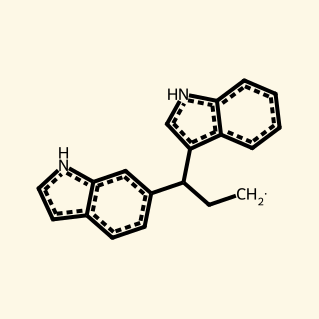 [CH2]CC(c1ccc2cc[nH]c2c1)c1c[nH]c2ccccc12